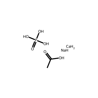 CC(=O)O.O=P(O)(O)O.[CaH2].[NaH]